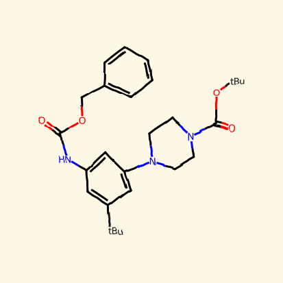 CC(C)(C)OC(=O)N1CCN(c2cc(NC(=O)OCc3ccccc3)cc(C(C)(C)C)c2)CC1